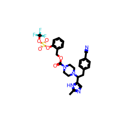 Cc1ncc(C(Cc2ccc(C#N)cc2)N2CCN(C(=O)OCc3ccccc3OS(=O)(=O)OC(F)(F)F)CC2)[nH]1